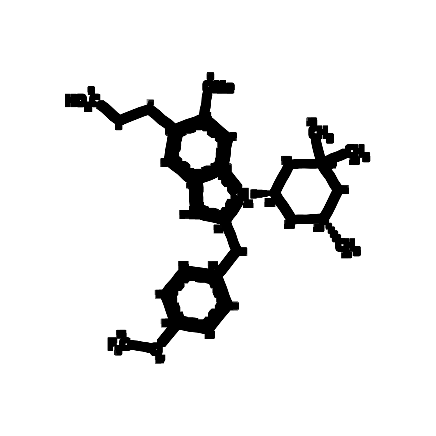 COc1cc2c(cc1CCC(=O)O)nc(Cc1ccc(OC(F)(F)F)cc1)n2[C@H]1C[C@@H](C)CC(C)(C)C1